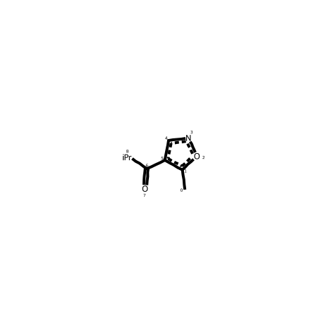 Cc1oncc1C(=O)C(C)C